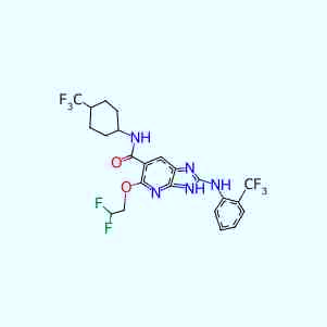 O=C(NC1CCC(C(F)(F)F)CC1)c1cc2nc(Nc3ccccc3C(F)(F)F)[nH]c2nc1OCC(F)F